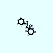 OC1(CNC2CCCCC2)CCCCC1